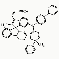 C#C/C=C\C1=C(C)C2(c3cc(N(C4=CCC(C)(c5ccccc5)C=C4)c4ccc(C5C=CC=CC5)cc4)ccc31)c1ccccc1C1C=CC=CC12